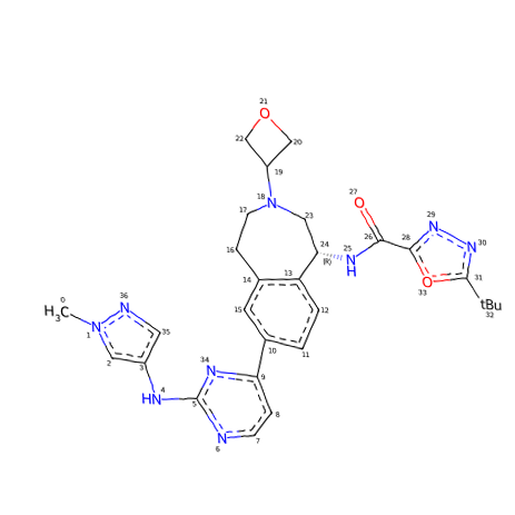 Cn1cc(Nc2nccc(-c3ccc4c(c3)CCN(C3COC3)C[C@@H]4NC(=O)c3nnc(C(C)(C)C)o3)n2)cn1